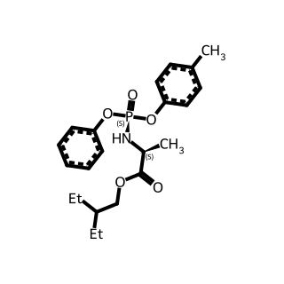 CCC(CC)COC(=O)[C@H](C)N[P@](=O)(Oc1ccccc1)Oc1ccc(C)cc1